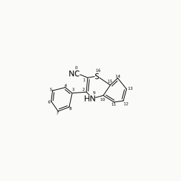 N#CC1=C(c2ccccc2)Nc2ccccc2S1